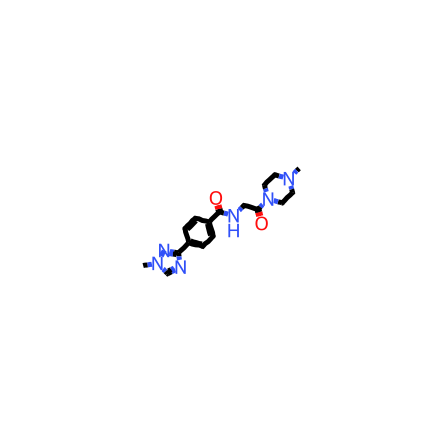 CN1CCN(C(=O)CNC(=O)c2ccc(-c3ncn(C)n3)cc2)CC1